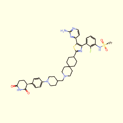 CCCS(=O)(=O)Nc1cccc(-c2nc(C3CCC4(CC3)CCN(CC3CCN(c5ccc([C@@H]6CCC(=O)NC6=O)cc5)CC3)CC4)sc2-c2ccnc(N)n2)c1F